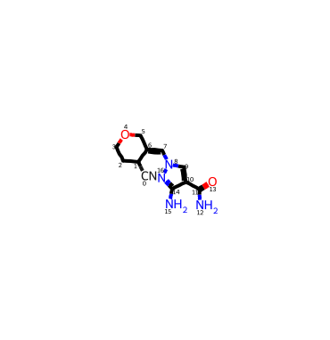 N#CC1CCOC/C1=C/n1cc(C(N)=O)c(N)n1